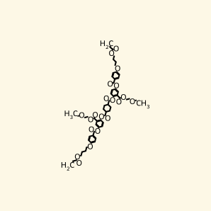 C=CC(=O)OCCCCOc1ccc(C(=O)Oc2ccc(OC(=O)C3CCC(C(=O)Oc4ccc(OC(=O)c5ccc(OCCCCOC(=O)C=C)cc5)cc4C(=O)OCCOCC)CC3)c(C(=O)OCCOCC)c2)cc1